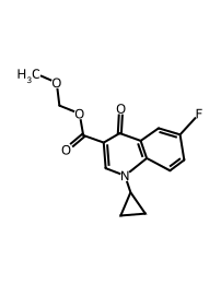 COCOC(=O)c1cn(C2CC2)c2ccc(F)cc2c1=O